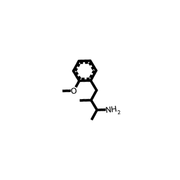 COc1ccccc1CC(C)C(C)N